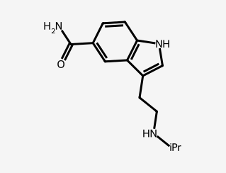 CC(C)NCCc1c[nH]c2ccc(C(N)=O)cc12